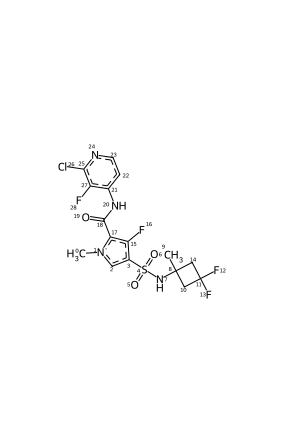 Cn1cc(S(=O)(=O)NC2(C)CC(F)(F)C2)c(F)c1C(=O)Nc1ccnc(Cl)c1F